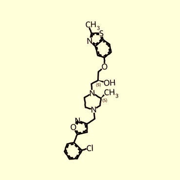 Cc1nc2cc(OC[C@@H](O)CN3CCN(Cc4cc(-c5ccccc5Cl)on4)C[C@@H]3C)ccc2s1